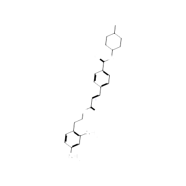 CC1CCC(OC(=O)c2ccc(/C=C/C(=O)OCCc3ccc(N)cc3N)cc2)CC1